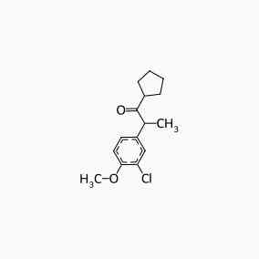 COc1ccc(C(C)C(=O)C2CCCC2)cc1Cl